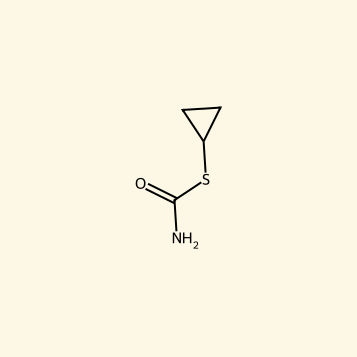 NC(=O)SC1CC1